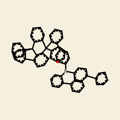 c1ccc(-c2ccc(N(c3ccc(-c4ccccc4C4(c5ccccc5)c5ccccc5C5(c6ccccc6)c6ccccc6-c6cccc4c65)cc3)c3ccccc3-c3ccccc3)cc2)cc1